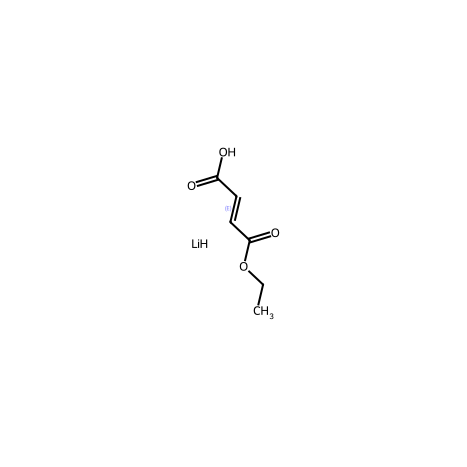 CCOC(=O)/C=C/C(=O)O.[LiH]